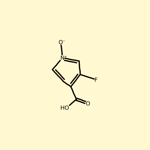 O=C(O)c1cc[n+]([O-])cc1F